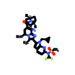 COc1cc(C(=O)N2[C@H]3CC[C@H](N)[C@@H]2CC3)cc2nc(-c3cc4ccc(N(C(F)F)S(C)(=O)=O)nc4n3CC3CC3)c(C)n12